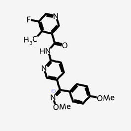 CO/N=C(\c1ccc(OC)cc1)c1ccc(NC(=O)c2cncc(F)c2C)nc1